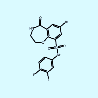 O=C1NCCOc2c1cc(Br)cc2S(=O)(=O)Nc1ccc(F)c(F)c1